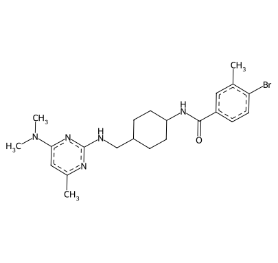 Cc1cc(N(C)C)nc(NCC2CCC(NC(=O)c3ccc(Br)c(C)c3)CC2)n1